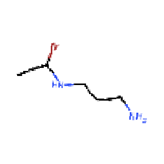 CC(Br)NCCCN